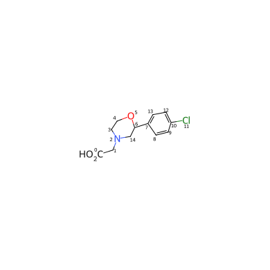 O=C(O)CN1CCOC(c2ccc(Cl)cc2)C1